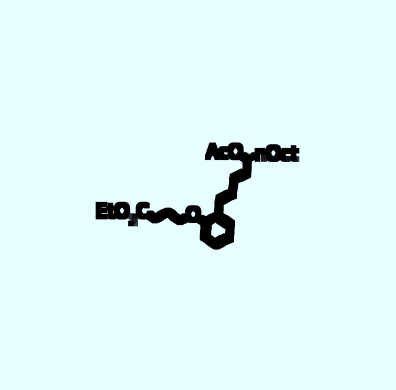 CCCCCCCC[C@@H](/C=C/C=C/c1ccccc1OCCCC(=O)OCC)OC(C)=O